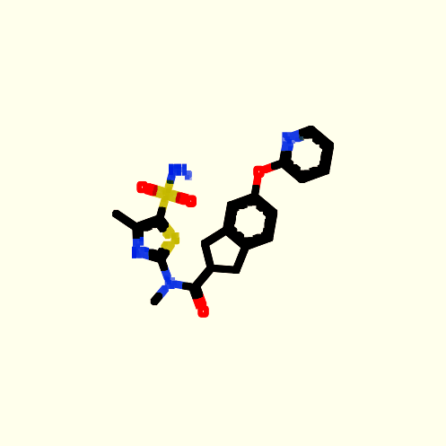 Cc1nc(N(C)C(=O)C2Cc3ccc(Oc4ccccn4)cc3C2)sc1S(N)(=O)=O